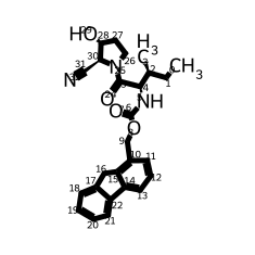 CC[C@H](C)[C@H](NC(=O)OCc1cccc2c1Cc1ccccc1-2)C(=O)N1CC[C@H](O)[C@@H]1C#N